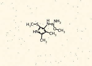 CON(N)Nc1c(SC)[nH]c(C)c1C